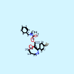 CN(CC1C#CC=CC1)C(=O)OCC1=C(c2ccc(Br)cc2)N=CCCO1